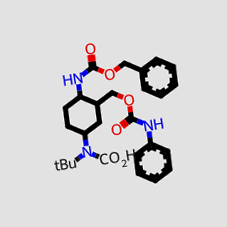 CC(C)(C)N(C(=O)O)C1CCC(NC(=O)OCc2ccccc2)C(COC(=O)Nc2ccccc2)C1